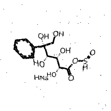 O=[SH]OC(=O)[C@H](O)[C@@H](O)[C@H](O)[C@](O)(CO)c1ccccc1.[NaH]